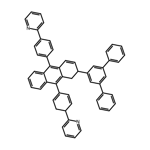 C1=CC(c2ccccn2)CC=C1c1c2c(c(-c3ccc(-c4ccccn4)cc3)c3ccccc13)C=CC(c1cc(-c3ccccc3)cc(-c3ccccc3)c1)C2